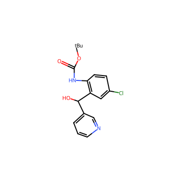 CC(C)(C)OC(=O)Nc1ccc(Cl)cc1C(O)c1cccnc1